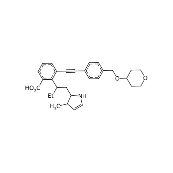 CCC(CC1NC=CC1C)c1c(C#Cc2ccc(COC3CCOCC3)cc2)cccc1C(=O)O